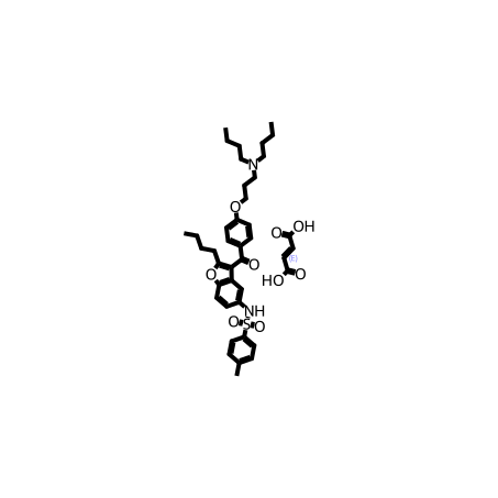 CCCCc1oc2ccc(NS(=O)(=O)c3ccc(C)cc3)cc2c1C(=O)c1ccc(OCCCN(CCCC)CCCC)cc1.O=C(O)/C=C/C(=O)O